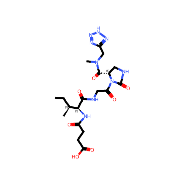 CC[C@H](C)[C@H](NC(=O)CCC(=O)O)C(=O)NCC(=O)N1C(=O)NC[C@H]1C(=O)N(C)Cc1nn[nH]n1